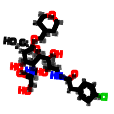 O=C(Cc1ccc(Cl)cc1)NC[C@@H](O)[C@@H](O)[C@@H]1O[C@@](OCC2CCOCC2)(C(=O)O)C[C@H](O)[C@H]1NC(=O)CO